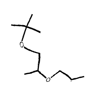 C[CH]COC(C)COC(C)(C)C